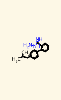 CC(C)Cc1ccc(-c2ccccc2C(=N)NN)cc1